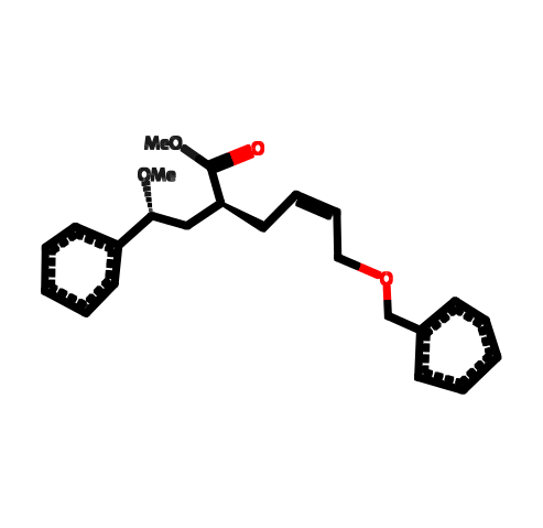 COC(=O)[C@@H](C/C=C\COCc1ccccc1)C[C@@H](OC)c1ccccc1